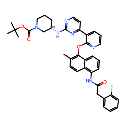 Cc1ccc2c(NC(=O)Cc3ccccc3F)cccc2c1Oc1ncccc1-c1ccnc(N[C@H]2CCCN(C(=O)OC(C)(C)C)C2)n1